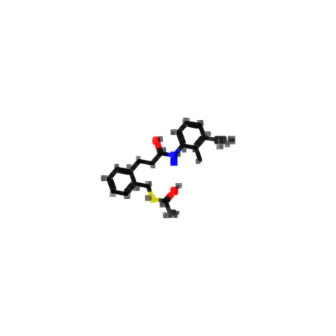 Cc1c(NC(=O)CCc2ccccc2CSC(=O)C(C)C)cccc1C(=O)O